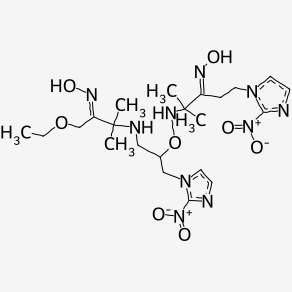 CCOCC(=NO)C(C)(C)NCC(Cn1ccnc1[N+](=O)[O-])ONC(C)(C)C(CCn1ccnc1[N+](=O)[O-])=NO